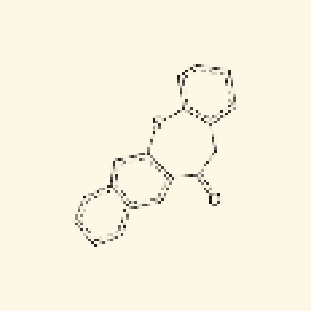 O=C1Cc2ccccc2Sc2cc3ccccc3cc21